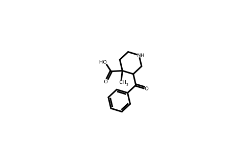 CC1(C(=O)O)CCNCC1C(=O)c1ccccc1